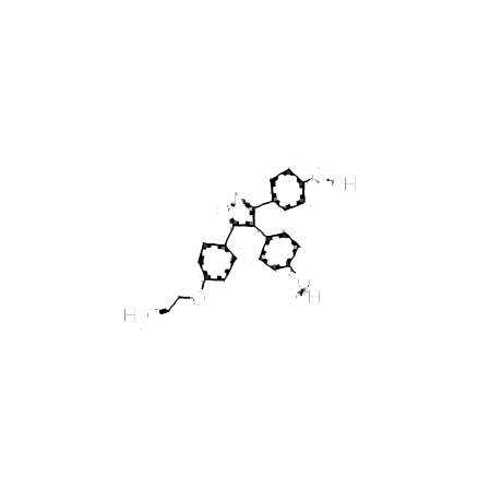 C=CCOc1ccc(-c2onc(-c3ccc(OC)cc3)c2-c2ccc(OC)cc2)cc1